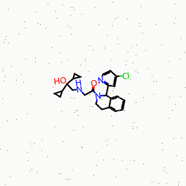 O=C(CNCC(O)(C1CC1)C1CC1)N1CCc2ccccc2C1c1cc(Cl)ccn1